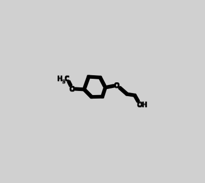 COC1CCC(OCCO)CC1